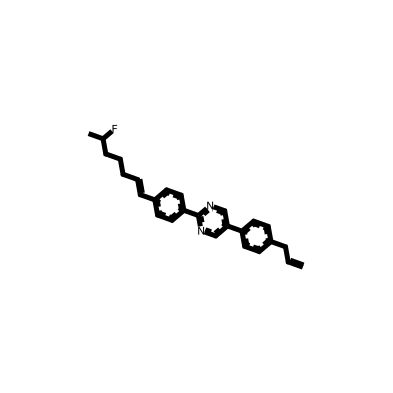 C=CCc1ccc(-c2cnc(-c3ccc(/C=C/CCCC(C)F)cc3)nc2)cc1